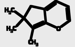 CC1=C2OC=CC=C2CC1(C)C